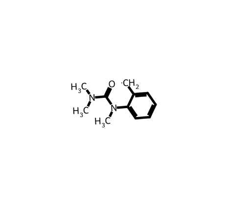 [CH2]c1ccccc1N(C)C(=O)N(C)C